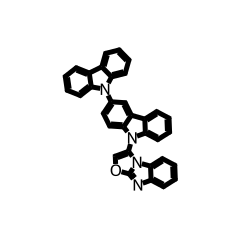 c1ccc2c(c1)nc1occ(-n3c4ccccc4c4cc(-n5c6ccccc6c6ccccc65)ccc43)n12